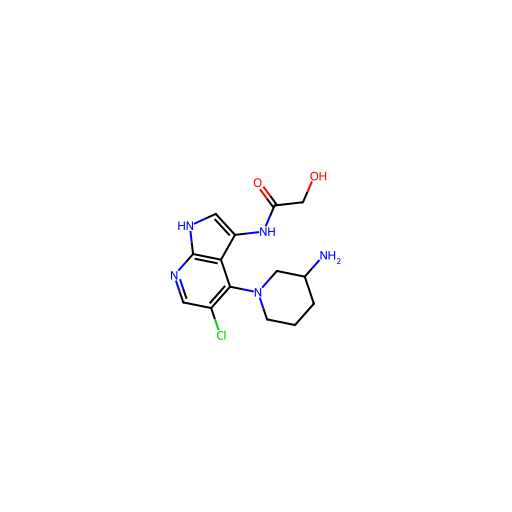 NC1CCCN(c2c(Cl)cnc3[nH]cc(NC(=O)CO)c23)C1